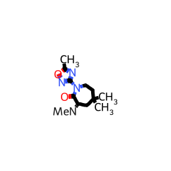 CNC1CC(C)(C)CCN(c2noc(C)n2)C1=O